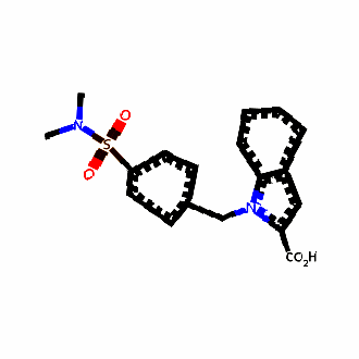 CN(C)S(=O)(=O)c1ccc(Cn2c(C(=O)O)cc3ccccc32)cc1